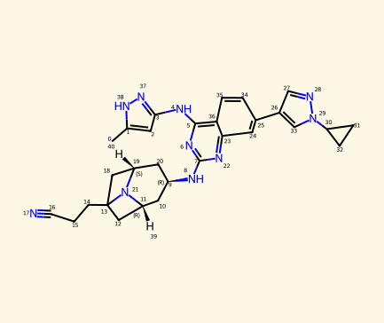 Cc1cc(Nc2nc(N[C@H]3C[C@@H]4CC5(CCC#N)C[C@H](C3)N45)nc3cc(-c4cnn(C5CC5)c4)ccc23)n[nH]1